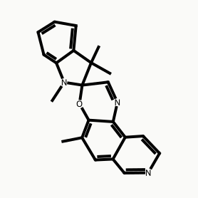 Cc1cc2cnccc2c2c1OC1(C=N2)N(C)c2ccccc2C1(C)C